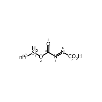 CCC[SiH2]OC(=O)N=NC(=O)O